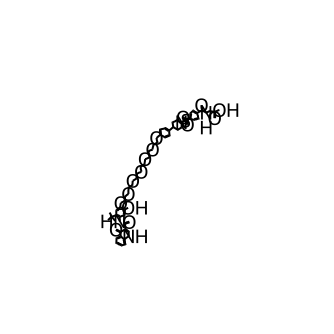 CC(C)(C)c1cc(OCCOCCOCCOCCOCCOCCOc2ccc(C3CCN(S(=O)(=O)c4ccc(C(=O)NCC(=O)O)cc4)CC3)cc2)c(O)cc1NC(=O)c1c[nH]c2ccccc2c1=O